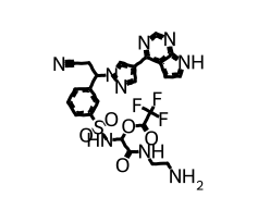 N#CCC(c1cccc(S(=O)(=O)NC(OC(=O)C(F)(F)F)C(=O)NCCN)c1)n1cc(-c2ncnc3[nH]ccc23)cn1